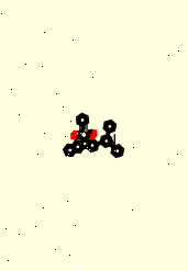 c1ccc(-c2cc(-c3ccc4c(c3)C3(c5cc6ccccc6cc5-4)c4ccccc4N(c4ccccc4)c4ccccc43)cc(-c3ccccc3)n2)cc1